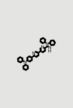 c1ccc(N(c2ccccc2)c2ccc(-c3ccc(-c4ccc(C5Nc6ccccc6N5c5ccccc5)nc4)cn3)cc2)cc1